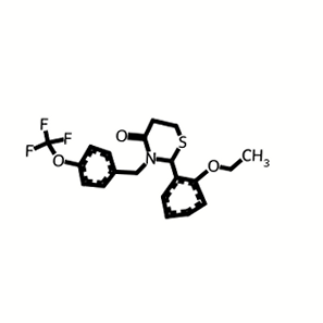 CCOc1ccccc1C1SCCC(=O)N1Cc1ccc(OC(F)(F)F)cc1